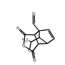 CC(C)C1C2C=CC1(C=O)C1C(=O)OC(=O)C21